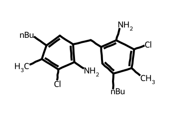 CCCCc1cc(Cc2cc(CCCC)c(C)c(Cl)c2N)c(N)c(Cl)c1C